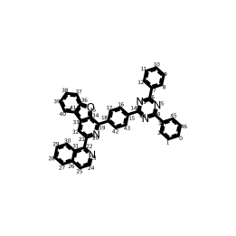 c1ccc(-c2nc(-c3ccccc3)nc(-c3ccc(-c4nc(-c5nccc6ccccc56)cc5c4oc4ccccc45)cc3)n2)cc1